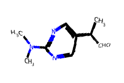 CC(C=O)c1cnc(N(C)C)nc1